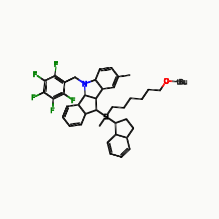 CC1=CC2C3C(C4C=CC=CC4C3[Si](C)(CCCCCCOC(C)(C)C)C3CCC4C=CC=CC43)N(Cc3c(F)c(F)c(F)c(F)c3F)C2C=C1